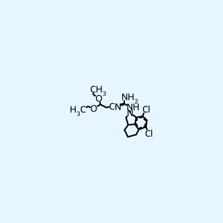 CCOC(CCN=C(N)NN1CC2CCCc3c(Cl)cc(Cl)c1c32)OCC